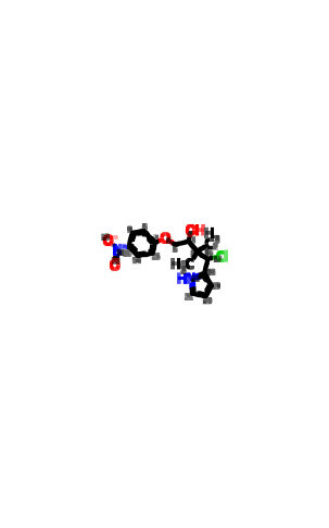 CC(C)(C(O)COc1ccc([N+](=O)[O-])cc1)C(Cl)c1ccc[nH]1